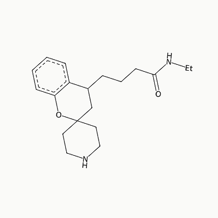 CCNC(=O)CCCC1CC2(CCNCC2)Oc2ccccc21